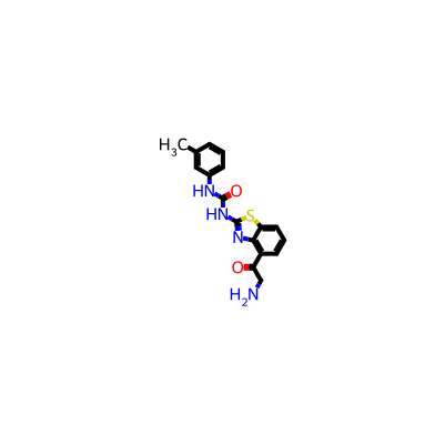 Cc1cccc(NC(=O)Nc2nc3c(C(=O)CN)cccc3s2)c1